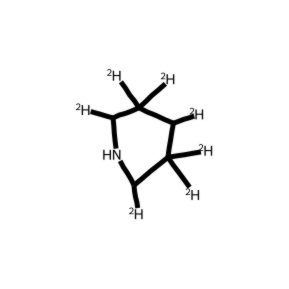 [2H]C1NC([2H])C([2H])([2H])C([2H])C1([2H])[2H]